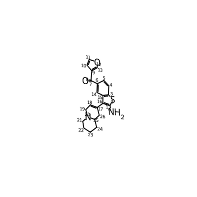 Nc1sc2ccc(C(=O)c3ccoc3)cc2c1C1=CCN2CCCCC2C1